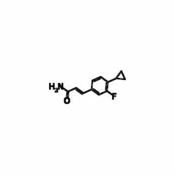 NC(=O)C=Cc1ccc(C2CC2)c(F)c1